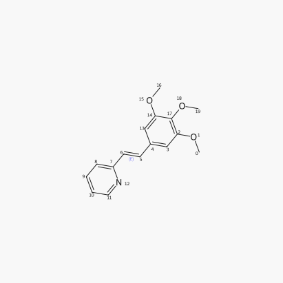 COc1cc(/C=C/c2ccccn2)cc(OC)c1OC